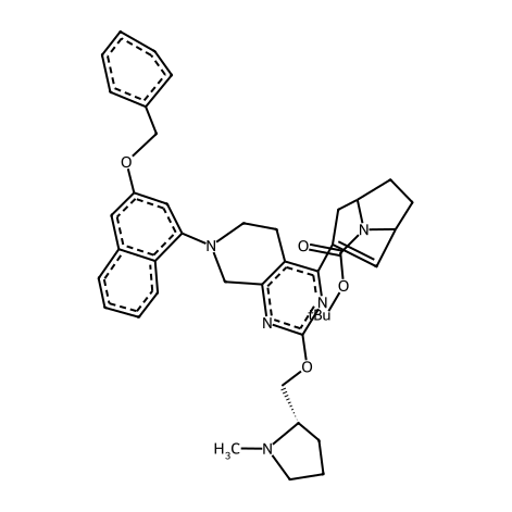 CN1CCC[C@H]1COc1nc2c(c(C3=CC4CCC(C3)N4C(=O)OC(C)(C)C)n1)CCN(c1cc(OCc3ccccc3)cc3ccccc13)C2